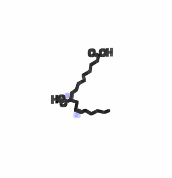 CCCCC/C=C\C/C(=C\CCCCCCCC(=O)O)OO